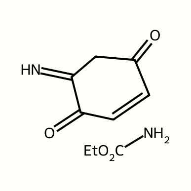 CCOC(N)=O.N=C1CC(=O)C=CC1=O